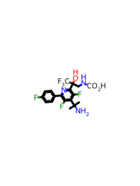 CC(C)(N)c1c(F)c(-c2ccc(F)cc2)nc(C(O)(CNC(=O)O)C(F)(F)F)c1F